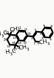 CC/C(=C\c1ccccc1)c1ccc2c(c1)C(C)(C)CCC2(C)C